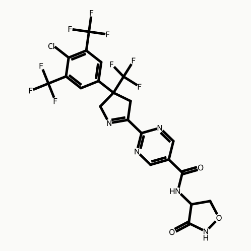 O=C(NC1CONC1=O)c1cnc(C2=NCC(c3cc(C(F)(F)F)c(Cl)c(C(F)(F)F)c3)(C(F)(F)F)C2)nc1